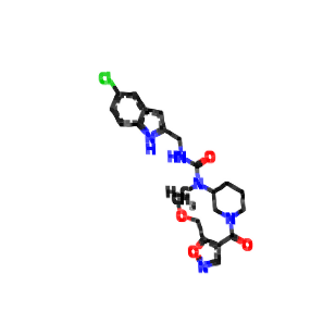 COCc1oncc1C(=O)N1CCCC(N(C)C(=O)NCc2cc3cc(Cl)ccc3[nH]2)C1